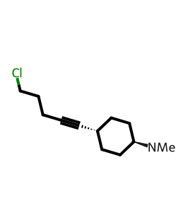 CN[C@H]1CC[C@H](C#CCCCCl)CC1